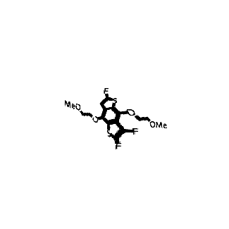 COCCOc1c2cc(F)sc2c(OCCOC)c2c(F)c(F)sc12